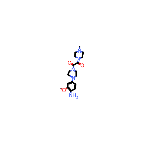 COc1cc(N2CCN(C(=O)C(=O)N3CCN(C)CC3)CC2)ccc1N